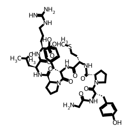 CSCC[C@H](NC(=O)[C@@H]1CCCN1C(=O)[C@H](Cc1ccc(O)cc1)NC(=O)CN)C(=O)N[C@@H](Cc1ccc(O)cc1)C(=O)N1CCC[C@H]1C(=O)N[C@@H](CC(C)C)C(=O)N[C@@H](CCCNC(=N)N)C(=O)O